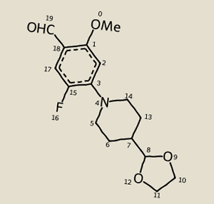 COc1cc(N2CCC(C3OCCO3)CC2)c(F)cc1C=O